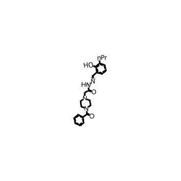 CCCc1cccc(/C=N/NC(=O)CN2CCN(C(=O)c3ccccc3)CC2)c1O